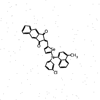 Cc1ccc(N(c2cccc(Cl)c2)c2ccc(C=C3C(=O)c4cc5ccccc5cc4C3=O)[se]2)c2ccccc12